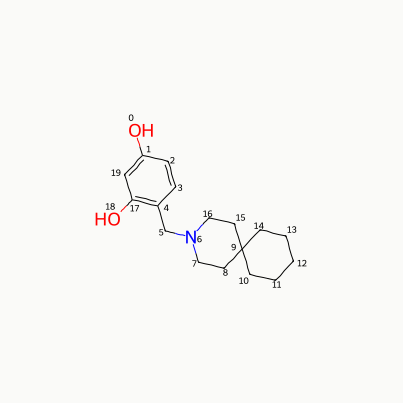 Oc1ccc(CN2CCC3(CCCCC3)CC2)c(O)c1